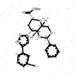 COC(=O)[C@H]1C[C@@H](n2cc(-c3cccc(F)c3)nn2)[C@H]2O[C@H](c3ccccc3)OC[C@H]2O1